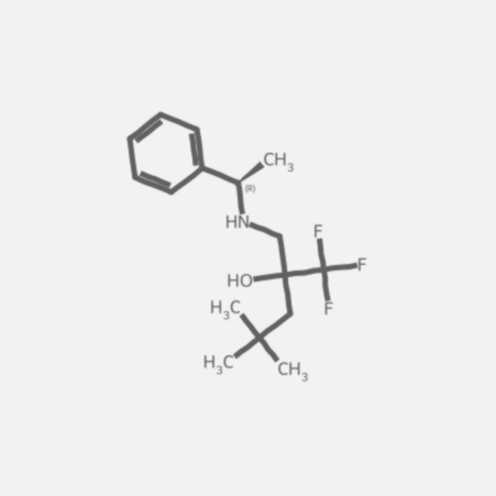 C[C@@H](NCC(O)(CC(C)(C)C)C(F)(F)F)c1ccccc1